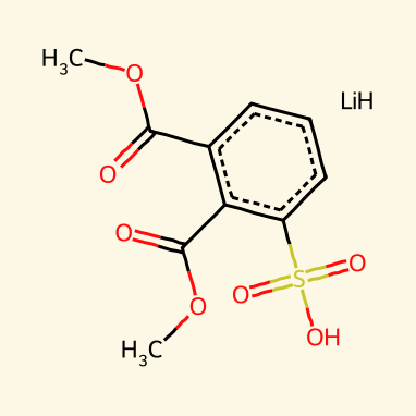 COC(=O)c1cccc(S(=O)(=O)O)c1C(=O)OC.[LiH]